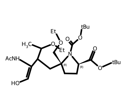 CCOC[C@]1(CC(C(=CO)NC(C)=O)C(C)OCC)CC[C@H](C(=O)OC(C)(C)C)N1C(=O)OC(C)(C)C